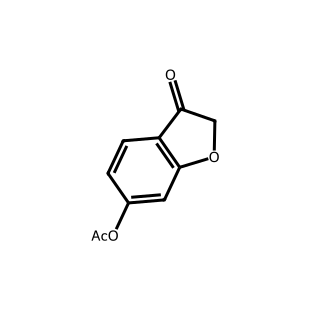 CC(=O)Oc1ccc2c(c1)OCC2=O